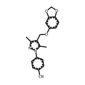 Cc1nn(-c2ccc(C#N)cc2)c(C)c1COc1ccc2c(c1)OCO2